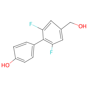 OCc1cc(F)c(-c2ccc(O)cc2)c(F)c1